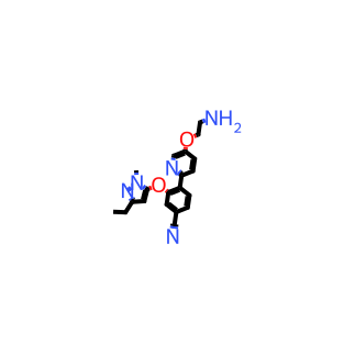 CCc1cc(Oc2cc(C#N)ccc2-c2ccc(OCCN)cn2)n(C)n1